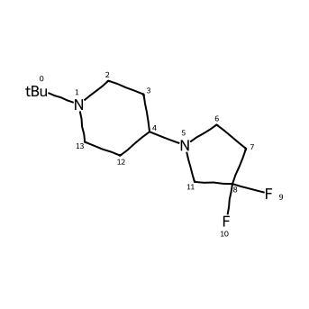 CC(C)(C)N1CCC(N2CCC(F)(F)C2)CC1